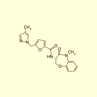 Cc1cnn(Cc2ccc(C(=O)N[C@H]3COc4ccccc4N(C)C3=O)o2)c1